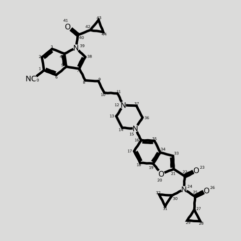 N#Cc1ccc2c(c1)c(CCCCN1CCN(c3ccc4oc(C(=O)N(C(=O)C5CC5)C5CC5)cc4c3)CC1)cn2C(=O)C1CC1